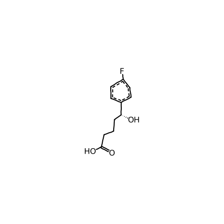 O=C(O)CCC[C@@H](O)c1ccc(F)cc1